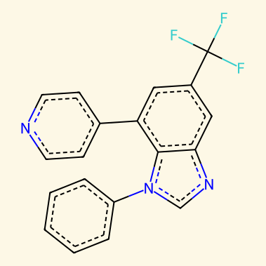 FC(F)(F)c1cc(-c2ccncc2)c2c(c1)ncn2-c1ccccc1